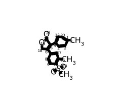 Cc1ccc(C2=C(c3ccc(S(C)(=O)=O)c(C)c3)COC2=O)cc1